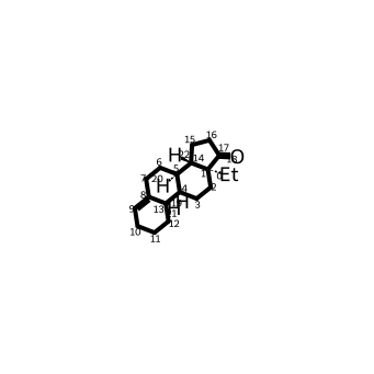 CC[C@]12CC[C@H]3[C@@H](CCC4=CCCC[C@@H]43)[C@@H]1CCC2=O